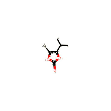 [2H]c1oc(=O)oc1C(C)C